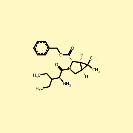 CCC(CC)[C@H](N)C(=O)N1C[C@H]2[C@@H]([C@H]1C(=O)OCc1ccccc1)C2(C)C